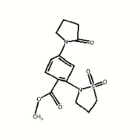 COC(=O)c1ccc(N2CCCC2=O)cc1N1CCCS1(=O)=O